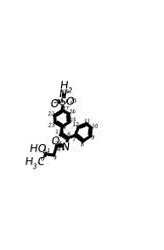 CC(O)Cc1nc(-c2ccccc2)c(-c2ccc(S(N)(=O)=O)cc2)o1